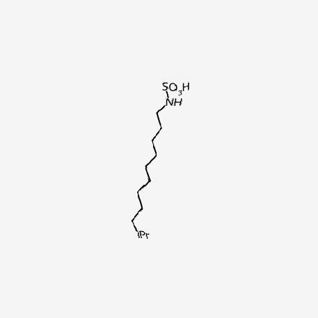 CC(C)CCCCCCCCCNS(=O)(=O)O